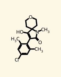 Cc1cc(Cl)cc(C)c1C1=C(O)C2(CCOCC2)N(C)C1=O